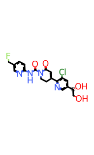 O=C1C=C(c2ncc([C@H](O)CO)cc2Cl)CCN1C(=O)Nc1ccc(CF)cn1